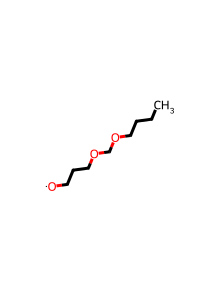 CCCCOCOCCC[O]